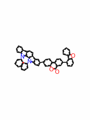 O=c1oc2cc(-c3ccc4c(c3)c3ccc5c6ccccc6n(-c6ccccc6)c5c3n4-c3ccccc3)ccc2c2ccc(-c3cccc4oc5ccccc5c34)cc12